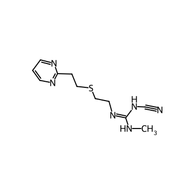 CNC(=NCCSCCc1ncccn1)NC#N